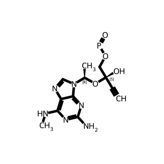 C#C[C@@](O)(COP=O)O[C@H](C)n1cnc2c(NC)nc(N)nc21